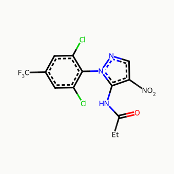 CCC(=O)Nc1c([N+](=O)[O-])cnn1-c1c(Cl)cc(C(F)(F)F)cc1Cl